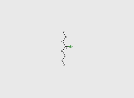 CC[CH]CC(Br)CCC